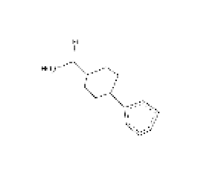 CCC(C(=O)O)C1CCC(c2ccccc2)CC1